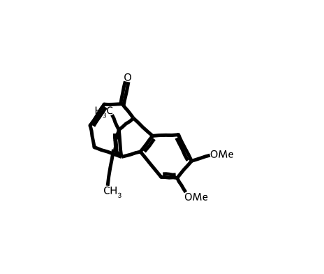 COc1cc2c(cc1OC)C13CC=CC(=O)C2C1(C)CCCC3C